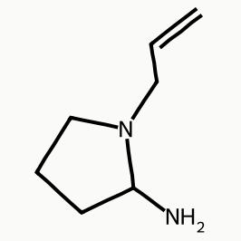 C=CCN1CCCC1N